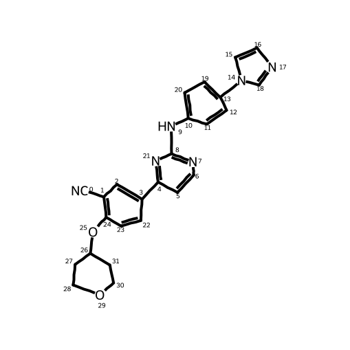 N#Cc1cc(-c2ccnc(Nc3ccc(-n4ccnc4)cc3)n2)ccc1OC1CCOCC1